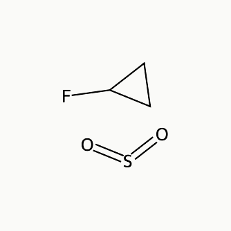 FC1CC1.O=S=O